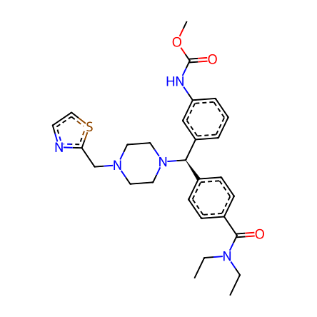 CCN(CC)C(=O)c1ccc([C@H](c2cccc(NC(=O)OC)c2)N2CCN(Cc3nccs3)CC2)cc1